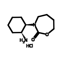 Cl.N[C@@H]1CCCC[C@H]1N1CCCCOC1=O